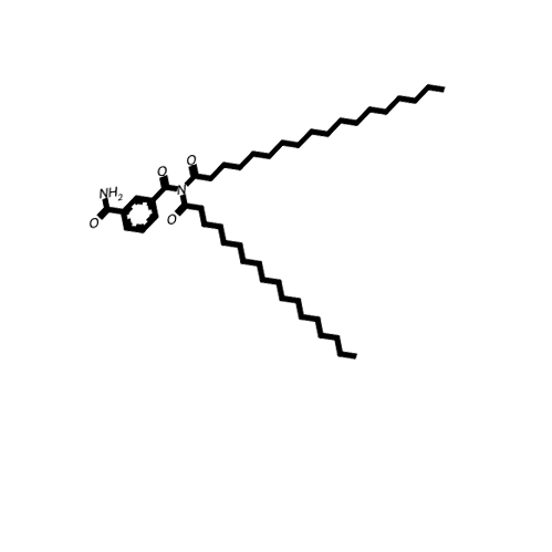 CCCCCCCCCCCCCCCCCC(=O)N(C(=O)CCCCCCCCCCCCCCCCC)C(=O)c1cccc(C(N)=O)c1